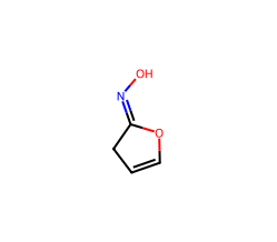 ON=C1CC=CO1